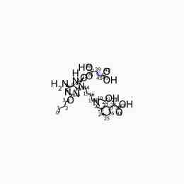 CCCCOc1nc(N)c2[nH]c(=O)n(CCCCN(CCO)Cc3cccc(C(C)C(=O)O)c3)c2n1.O=C(O)/C=C/C(=O)O